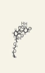 C#CCOCCOCCNc1cccc2c1C(=O)N(C1CCC(=O)NC1O)C2=O